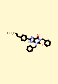 O=C(O)/C=C/c1ccc(-c2nc3c(=O)n(Cc4ccccc4)c(=O)n(Cc4ccccc4)c3[nH]2)cc1